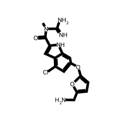 CN(C(=N)N)C(=O)c1cc2c(Cl)cc(Oc3ccc(CN)o3)cc2[nH]1